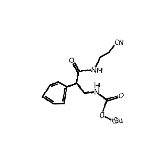 CC(C)(C)OC(=O)NCC(C(=O)NCCC#N)c1ccccc1